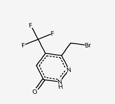 O=c1cc(C(F)(F)F)c(CBr)n[nH]1